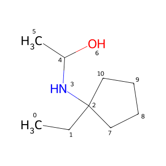 CCC1(NC(C)O)CCCC1